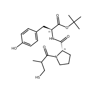 CC(CS)C(=O)N1CCC[C@H]1C(=O)N[C@@H](Cc1ccc(O)cc1)C(=O)OC(C)(C)C